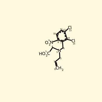 C=CCN(CC(=O)O)Cc1c([N+](=O)[O-])ccc(Cl)c1Cl